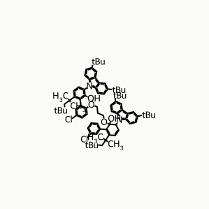 CC(C)(C)CC(C)(C)C1=C(c2cccc(Cl)c2)C(O)(OCCCOc2ccc(Cl)cc2-c2c(C(C)(C)CC(C)(C)C)ccc(-n3c4ccc(C(C)(C)C)cc4c4cc(C(C)(C)C)ccc43)c2O)C(n2c3ccc(C(C)(C)C)cc3c3cc(C(C)(C)C)ccc32)C=C1